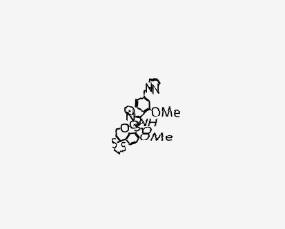 COc1ccc2c(c1S(=O)(=O)Nc1noc3cc(Cn4cccn4)cc(OC)c13)OCCC21SCCS1